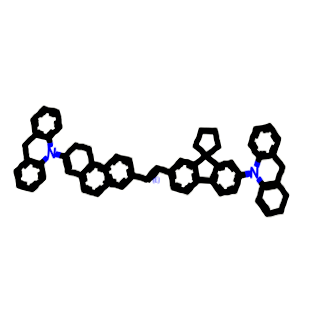 C1=CC2=C(CC1)Cc1ccccc1N2c1ccc2c(c1)C1(CCCC1)c1cc(/C=C/c3ccc4c5c(ccc4c3)C=C(N3c4ccccc4Cc4ccccc43)CC5)ccc1-2